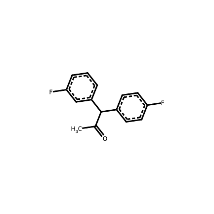 CC(=O)C(c1ccc(F)cc1)c1cccc(F)c1